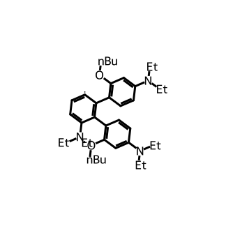 CCCCOc1cc(N(CC)CC)ccc1-c1[c]ccc(N(CC)CC)c1-c1ccc(N(CC)CC)cc1OCCCC